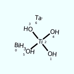 [BiH3].[OH][Ti]([OH])([OH])[OH].[Ta]